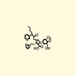 CCCCN(C(=O)CN1C[C@H](c2cc(CO)c3c(c2)OCO3)[C@@H](C(=O)O)[C@@H]1CCn1cccn1)c1cccnc1